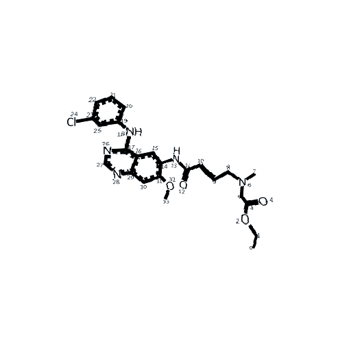 CCOC(=O)CN(C)CC=CC(=O)Nc1cc2c(Nc3cccc(Cl)c3)ncnc2cc1OC